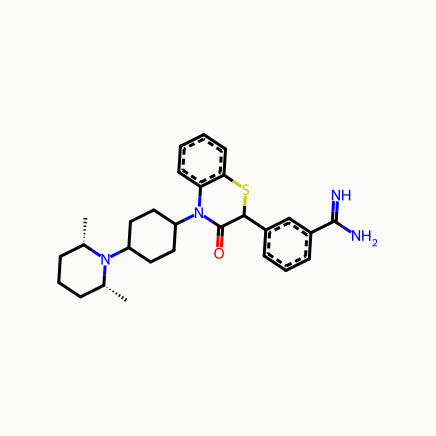 C[C@@H]1CCC[C@H](C)N1C1CCC(N2C(=O)C(c3cccc(C(=N)N)c3)Sc3ccccc32)CC1